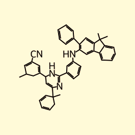 CC1C=C(C#N)C=C(C2C=C(C3(C)C=CC=CC3)N=C(c3cccc(Nc4cc5c(cc4-c4ccccc4)C(C)(C)c4ccccc4-5)c3)N2)C1